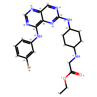 CCOC(=O)CNC1CCC(Nc2ncc3ncnc(Nc4cccc(Br)c4)c3n2)CC1